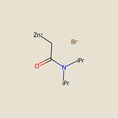 CC(C)N(C(=O)[CH2][Zn+])C(C)C.[Br-]